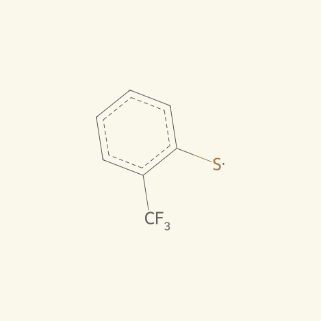 FC(F)(F)c1ccccc1[S]